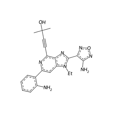 CCn1c(-c2nonc2N)nc2c(C#CC(C)(C)O)nc(-c3ccccc3N)cc21